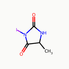 CC1NC(=O)N(I)C1=O